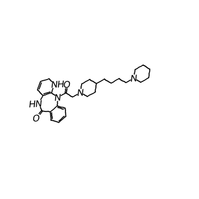 O=C1NC2=C(NCC=C2)N(C(=O)CN2CCC(CCCCN3CCCCC3)CC2)c2ccccc21